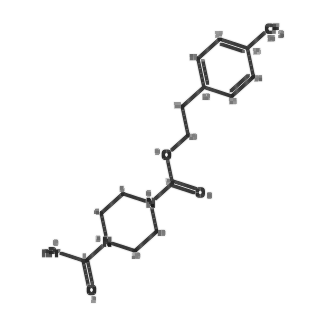 [CH2]CCC(=O)N1CCN(C(=O)OCCc2ccc(C(F)(F)F)cc2)CC1